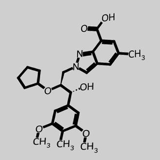 COc1cc([C@@H](O)[C@H](Cn2cc3cc(C)cc(C(=O)O)c3n2)OC2CCCC2)cc(OC)c1C